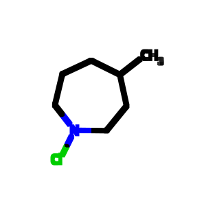 CC1CCCN(Cl)CC1